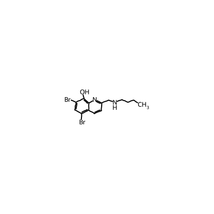 CCCCNCc1ccc2c(Br)cc(Br)c(O)c2n1